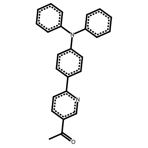 CC(=O)c1ccc(-c2ccc(N(c3ccccc3)c3ccccc3)cc2)nc1